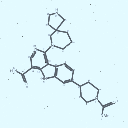 CNC(=O)N1CCC(c2ccc3c(c2)[nH]c2c(C(N)=O)cnc(N4CCCC5(CCNC5)C4)c23)CC1